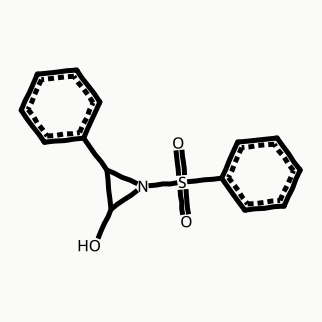 O=S(=O)(c1ccccc1)N1C(O)C1c1ccccc1